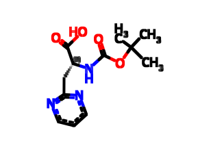 CC(C)(C)OC(=O)N[C@H](Cc1ncccn1)C(=O)O